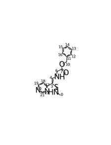 CNS/C(=C\NCC(=O)OCc1ccccc1)c1ccncn1